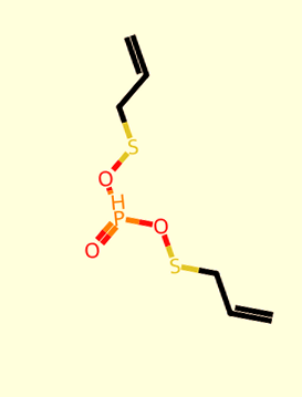 C=CCSO[PH](=O)OSCC=C